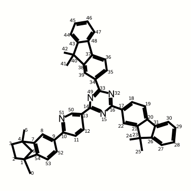 CC12CCC(C)(C1)c1cc(-c3ccc(-c4nc(-c5ccc6c(c5)C(C)(C)c5ccccc5-6)nc(-c5ccc6c(c5)C(C)(C)c5ccccc5-6)n4)cn3)ccc12